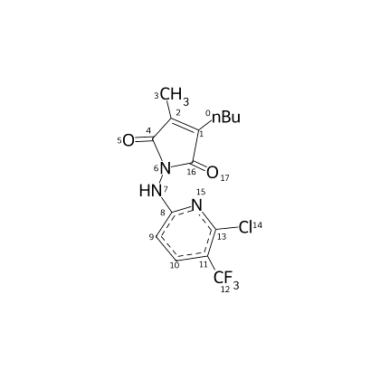 CCCCC1=C(C)C(=O)N(Nc2ccc(C(F)(F)F)c(Cl)n2)C1=O